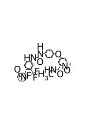 CNC(=O)c1cc(Oc2ccc(NC(=O)Nc3ccc(N4C(=O)C5CCC4CC5)c(C(F)(F)F)c3)cc2)cc[n+]1[O-]